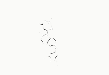 CC[C@@H]1CNc2c(sc3ccc4nc(Nc5cc(F)nc(F)c5)ccc4c23)C(=O)N1